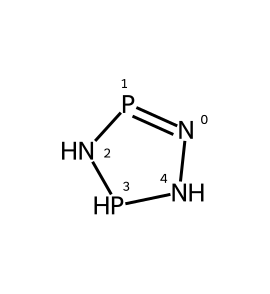 N1=PNPN1